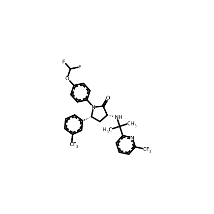 CC(C)(N[C@@H]1C[C@H](c2cccc(C(F)(F)F)c2)N(c2ccc(OC(F)F)cc2)C1=O)c1cccc(C(F)(F)F)n1